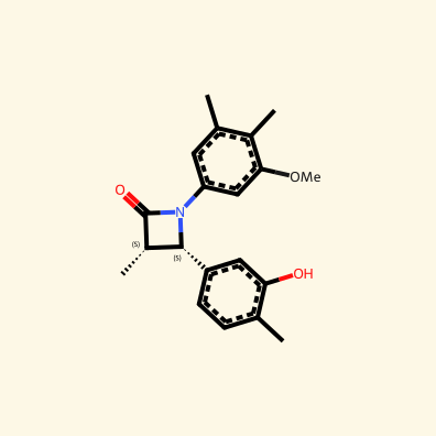 COc1cc(N2C(=O)[C@@H](C)[C@H]2c2ccc(C)c(O)c2)cc(C)c1C